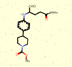 CNC(=O)CCC(C=O)Nc1ccc(C2CCN(C(=O)OC(C)(C)C)CC2)cc1